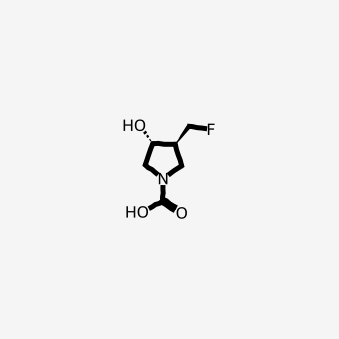 O=C(O)N1C[C@H](CF)[C@@H](O)C1